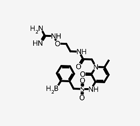 Bc1ccccc1CS(=O)(=O)Nc1ccc(C)n(CC(=O)NCCONC(=N)N)c1=O